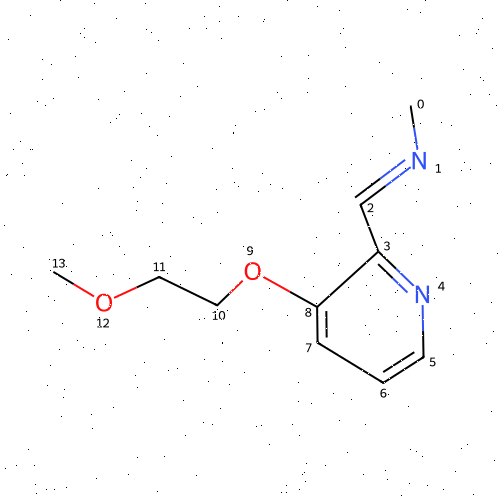 C/N=C/c1ncccc1OCCOC